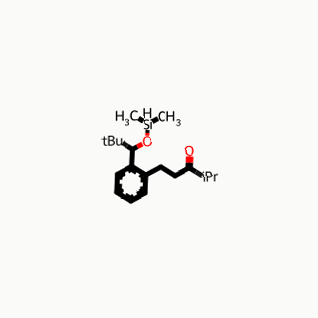 CC(C)C(=O)CCc1ccccc1C(O[SiH](C)C)C(C)(C)C